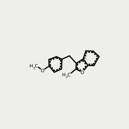 COc1ccc(Cc2c(C)oc3ccccc23)cc1